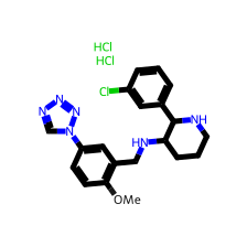 COc1ccc(-n2cnnn2)cc1CNC1CCCNC1c1cccc(Cl)c1.Cl.Cl